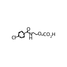 O=C(O)COCCNC(=O)c1ccc(Cl)cc1